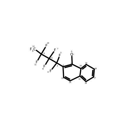 [O]c1c(C(F)(F)C(F)(F)C(F)(F)C(F)(F)F)ccc2ccccc12